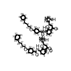 O.O=C(Nc1cccc2c(=O)cc(-c3nnn[nH]3)oc12)c1ccc(OCCCCc2ccccc2)cc1.O=C(Nc1cccc2c(=O)cc(-c3nnn[nH]3)oc12)c1ccc(OCCCCc2ccccc2)cc1